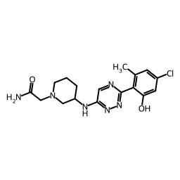 Cc1cc(Cl)cc(O)c1-c1ncc(NC2CCCN(CC(N)=O)C2)nn1